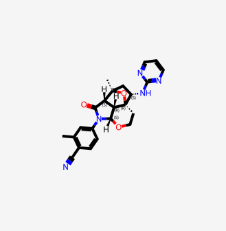 Cc1cc(N2C(=O)[C@H]3[C@H]4[C@@H]2OCC[C@@]42O[C@]3(C)C[C@@H]2Nc2ncccn2)ccc1C#N